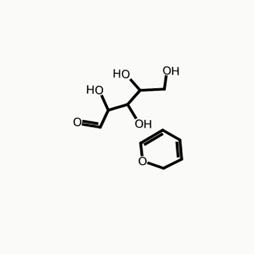 C1=CCOC=C1.O=CC(O)C(O)C(O)CO